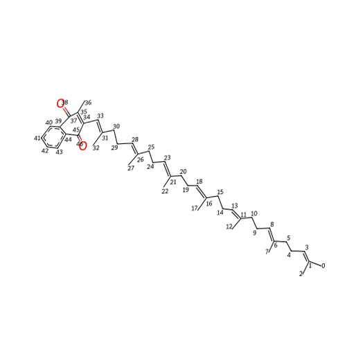 CC(C)=CCC/C(C)=C/CC/C(C)=C/CC/C(C)=C/CC/C(C)=C/CC/C(C)=C/CC/C(C)=C/C1=C(C)C(=O)c2ccccc2C1=O